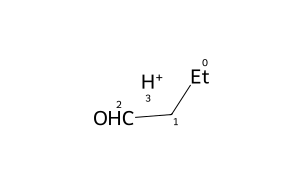 [CH2]CCC=O.[H+]